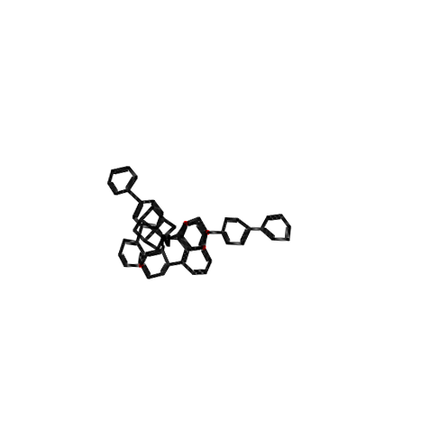 c1ccc(-c2ccc(-c3ccc(N(c4ccc(-c5ccccc5)cc4-c4ccccc4)c4ccccc4-c4cccc5cccc(C67CC8CC9CC(C6)C987)c45)cc3)cc2)cc1